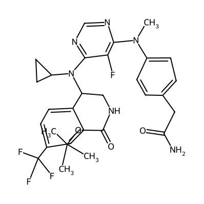 CN(c1ccc(CC(N)=O)cc1)c1ncnc(N(C2CC2)C(CNC(=O)OC(C)(C)C)c2ccc(C(F)(F)F)cc2)c1F